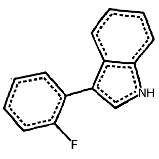 Fc1cc[c]cc1-c1c[nH]c2ccccc12